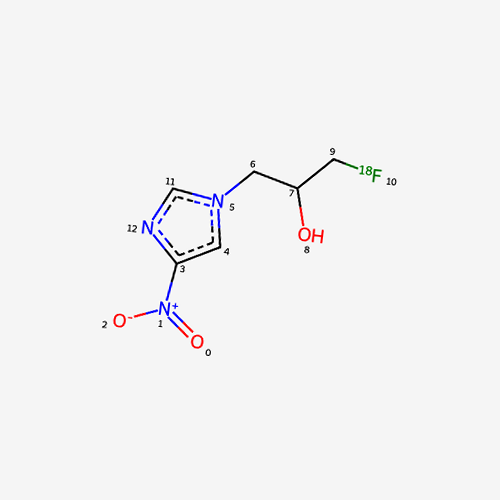 O=[N+]([O-])c1cn(CC(O)C[18F])cn1